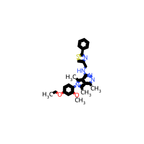 CCOc1ccc(-n2c(C)c3c(C)nnc(NCc4csc(-c5ccccc5)n4)c3c2C)c(OC)c1